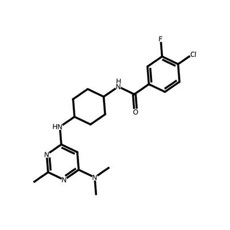 Cc1nc(NC2CCC(NC(=O)c3ccc(Cl)c(F)c3)CC2)cc(N(C)C)n1